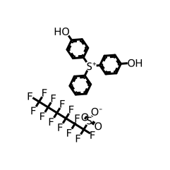 O=S(=O)([O-])C(F)(F)C(F)(F)C(F)(F)C(F)(F)C(F)(F)C(F)(F)F.Oc1ccc([S+](c2ccccc2)c2ccc(O)cc2)cc1